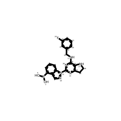 OB(O)c1cccc2c1cnn2-c1nc2c(c(NCc3cccc(F)c3)n1)NCC2